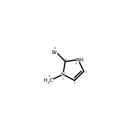 CN1C=CNC1Br